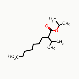 CC(=O)OC(C)OC(=O)C(CCCCCCC(=O)O)C(C)OC(C)=O